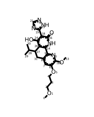 COCCCOc1cc2c(nc1OC)-c1[nH]c(=O)c(-c3ncn[nH]3)c(O)c1C(C(C)C)C2